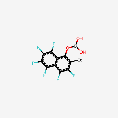 CCc1c(F)c(F)c2c(F)c(F)c(F)c(F)c2c1OB(O)O